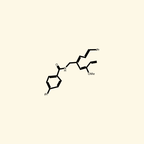 C=C\C(=C/C(=C\C=C\C(C)C)CNC(=O)c1ccc(C(C)C)cc1)OC